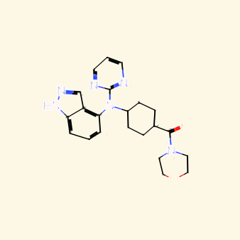 O=C(C1CCC(N(c2ncccn2)c2cccc3[nH]ncc23)CC1)N1CCOCC1